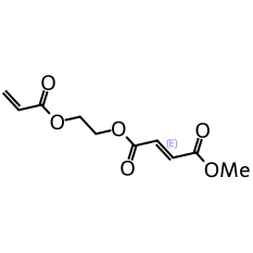 C=CC(=O)OCCOC(=O)/C=C/C(=O)OC